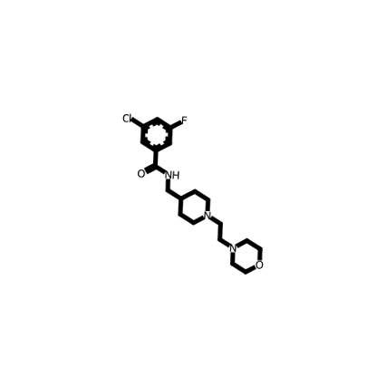 O=C(NCC1CCN(CCN2CCOCC2)CC1)c1cc(F)cc(Cl)c1